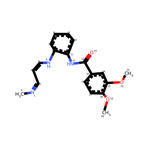 C/N=C\C=C/Nc1ccccc1NC(=O)c1ccc(OC)c(OC)c1